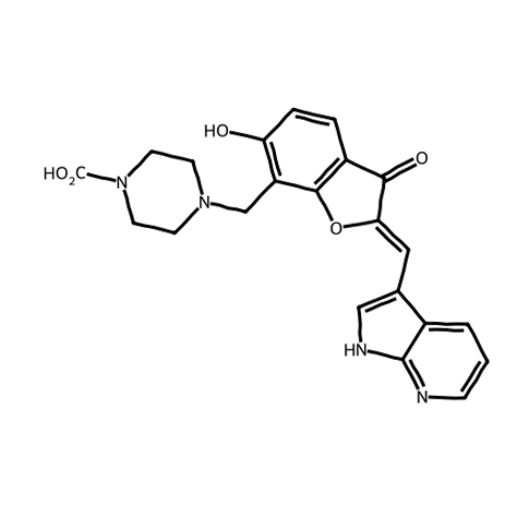 O=C1C(=Cc2c[nH]c3ncccc23)Oc2c1ccc(O)c2CN1CCN(C(=O)O)CC1